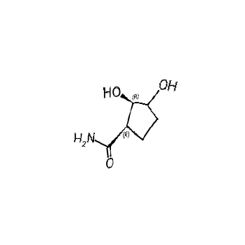 NC(=O)[C@@H]1CCC(O)[C@@H]1O